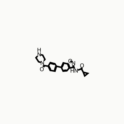 O=C(Nc1noc2cc(-c3ccc(C(=O)N4CCNCC4)cc3)ccc12)C1CC1